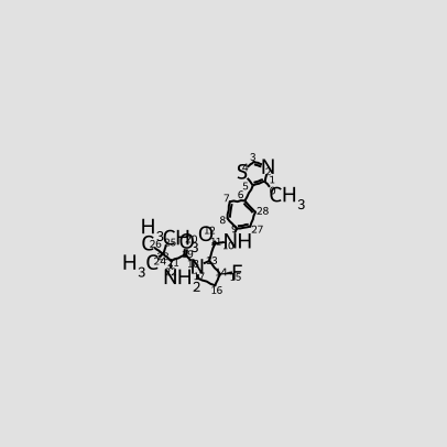 Cc1ncsc1-c1ccc(NC(=O)C2[C@@H](F)CCN2C(=O)[C@@H](N)C(C)(C)C)cc1